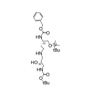 CC(C)(C)OC(=O)NC[C@H](O)CNCC[C@@H](CO[Si](C)(C)C(C)(C)C)NC(=O)OCc1ccccc1